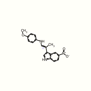 COc1ccc(N/C=C(\C)c2c[nH]c3ccc([N+](=O)[O-])cc23)cc1